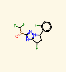 [O-][S@@+](c1nc2n(n1)C(c1ccccc1F)CC2F)C(F)F